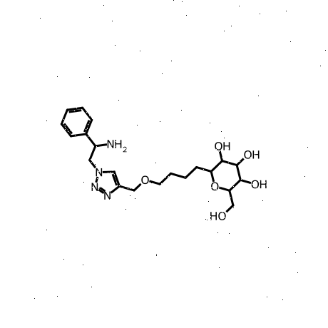 NC(Cn1cc(COCCCCC2OC(CO)C(O)C(O)C2O)nn1)c1ccccc1